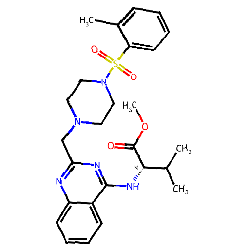 COC(=O)[C@@H](Nc1nc(CN2CCN(S(=O)(=O)c3ccccc3C)CC2)nc2ccccc12)C(C)C